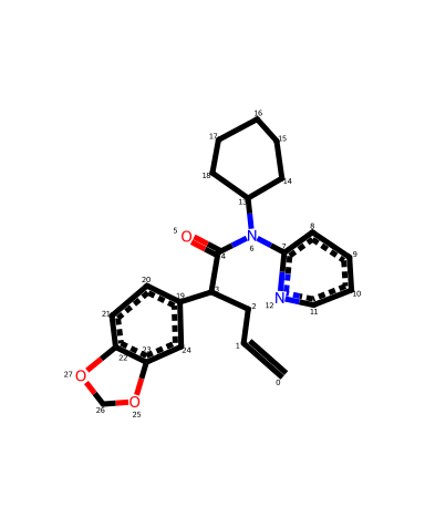 C=CCC(C(=O)N(c1ccccn1)C1CCCCC1)c1ccc2c(c1)OCO2